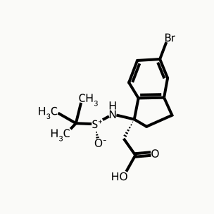 CC(C)(C)[S@@+]([O-])N[C@]1(CC(=O)O)CCc2cc(Br)ccc21